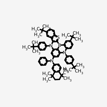 CC(C)(C)c1ccc(N2c3ccc(C(C)(C)C)cc3B3c4sc5ccc(C(C)(C)C)cc5c4N(c4ccc(C(C)(C)C)cc4)c4cc(N(c5ccccc5)c5ccc6c(c5)C(C)(C)CCC6(C)C)cc2c43)cc1